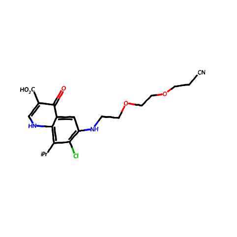 CC(C)c1c(Cl)c(NCCOCCOCCC#N)cc2c(=O)c(C(=O)O)c[nH]c12